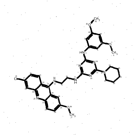 COc1cc(Nc2nc(NCCNc3c4ccc(Cl)cc4nc4ccc(OC)cc34)nc(N3CCCCC3)n2)cc(OC)c1